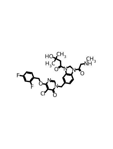 CNCC(=O)N1CN(C(=O)CC(C)(C)O)c2cc(Cn3cnc(OCc4ccc(F)cc4F)c(Cl)c3=O)ccc21